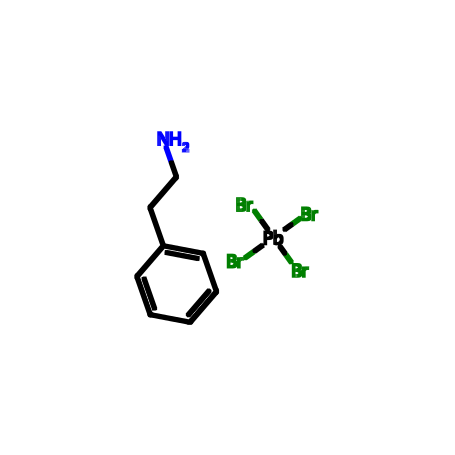 NCCc1ccccc1.[Br][Pb]([Br])([Br])[Br]